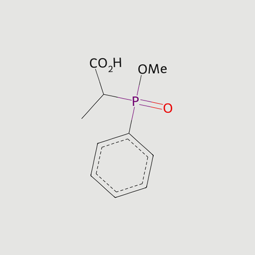 COP(=O)(c1ccccc1)C(C)C(=O)O